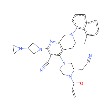 C=CC(=O)N1CCN(c2c(C#N)c(N3CC(N4CC4)C3)nc3c2CCN(c2cccc4cccc(C)c24)C3)C[C@@H]1CC#N